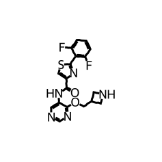 O=C(Nc1cncnc1OCC1CNC1)c1csc(-c2c(F)cccc2F)n1